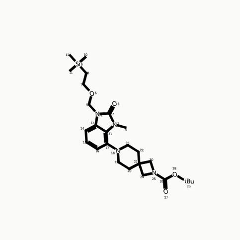 Cn1c(=O)n(COCC[Si](C)(C)C)c2cccc(N3CCC4(CC3)CN(C(=O)OC(C)(C)C)C4)c21